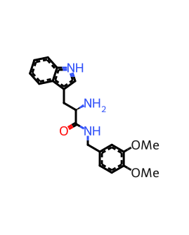 COc1ccc(CNC(=O)[C@H](N)Cc2c[nH]c3ccccc23)cc1OC